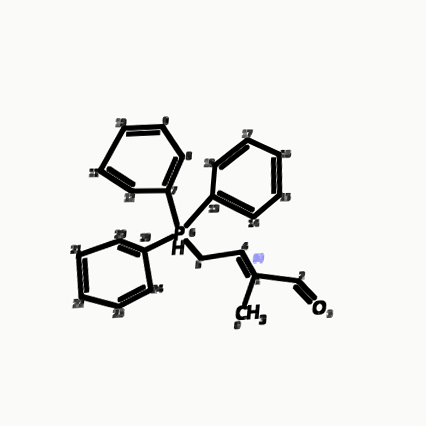 C/C(C=O)=C\C[PH](c1ccccc1)(c1ccccc1)c1ccccc1